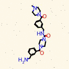 CN1CCN(C(=O)c2cccc(CNC(=O)N3CCN(C(=O)c4cccc(CN)c4)CC3)c2)CC1